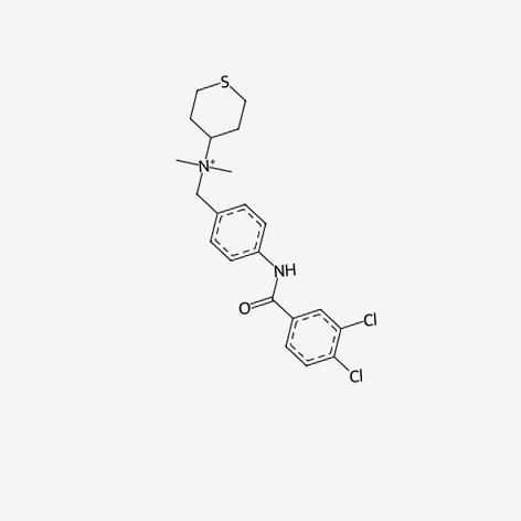 C[N+](C)(Cc1ccc(NC(=O)c2ccc(Cl)c(Cl)c2)cc1)C1CCSCC1